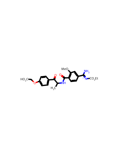 CCOC(=O)/N=C(\N)c1ccc(C(=O)NC(C)C(=O)c2ccc(OCC(=O)O)cc2)c(OC)c1